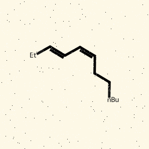 [CH2]C/C=C/C=C\CCCCCC